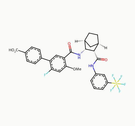 COc1cc(F)c(-c2ccc(C(=O)O)cc2)cc1C(=O)N[C@@H]1[C@H]2CC[C@H](C2)[C@@H]1C(=O)Nc1cccc(S(F)(F)(F)(F)F)c1